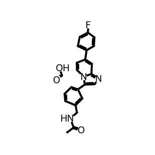 CC(=O)NCc1cccc(-c2cnc3cc(-c4ccc(F)cc4)ccn23)c1.O=CO